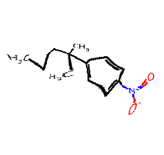 CCCC(C)(C)c1ccc([N+](=O)[O-])cc1